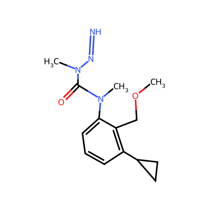 COCc1c(C2CC2)cccc1N(C)C(=O)N(C)N=N